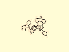 c1ccc(C2=NC(c3cccc4sc5cccc(-c6cccc7c6oc6c(-n8c9ccccc9c9ccccc98)cccc67)c5c34)NC(c3ccccc3)=N2)cc1